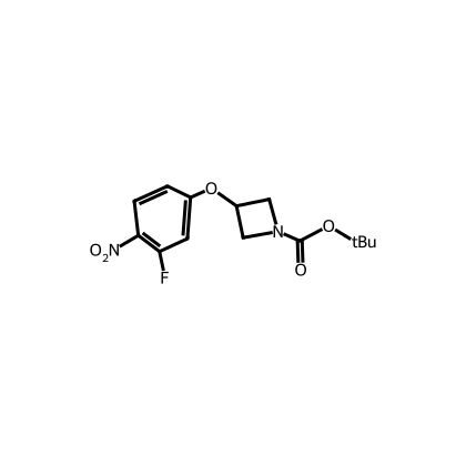 CC(C)(C)OC(=O)N1CC(Oc2ccc([N+](=O)[O-])c(F)c2)C1